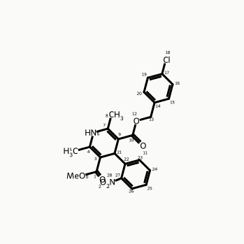 COC(=O)C1=C(C)NC(C)=C(C(=O)OCc2ccc(Cl)cc2)C1c1ccccc1[N+](=O)[O-]